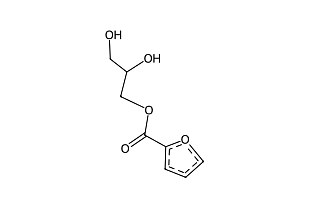 O=C(OCC(O)CO)c1ccco1